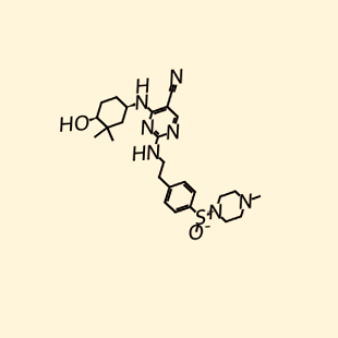 CN1CCN([S+]([O-])c2ccc(CCNc3ncc(C#N)c(N[C@@H]4CC[C@H](O)C(C)(C)C4)n3)cc2)CC1